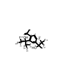 C=C(C)c1ccc(C(C)(O)C(F)(F)F)cc1C(O)(C(F)(F)F)C(F)(F)F